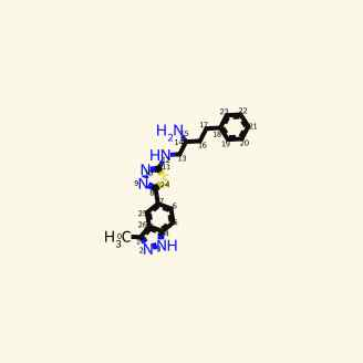 Cc1n[nH]c2ccc(-c3nnc(NCC(N)CCc4ccccc4)s3)cc12